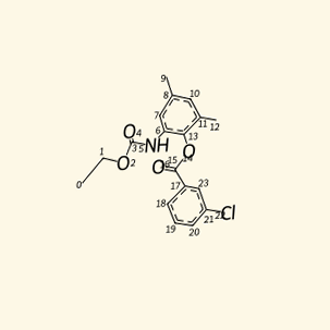 CCOC(=O)Nc1cc(C)cc(C)c1OC(=O)c1cccc(Cl)c1